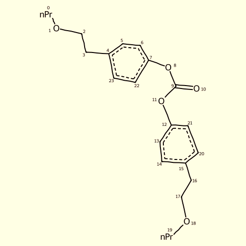 CCCOCCc1ccc(OC(=O)Oc2ccc(CCOCCC)cc2)cc1